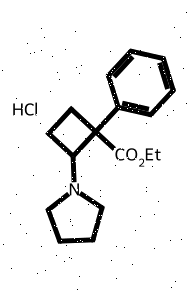 CCOC(=O)C1(c2ccccc2)CCC1N1CCCC1.Cl